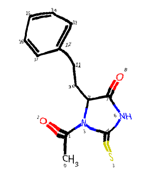 CC(=O)N1C(=S)NC(=O)C1CCc1ccccc1